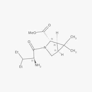 CCC(CC)[C@H](N)C(=O)N1C[C@H]2[C@@H]([C@H]1C(=O)OC)C2(C)C